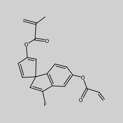 C=CC(=O)Oc1ccc2c(c1)C(F)=CC21C=CC(OC(=O)C(=C)C)=C1